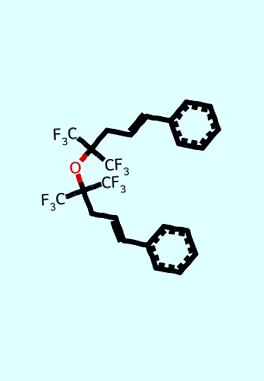 FC(F)(F)C(C/C=C/c1ccccc1)(OC(C/C=C/c1ccccc1)(C(F)(F)F)C(F)(F)F)C(F)(F)F